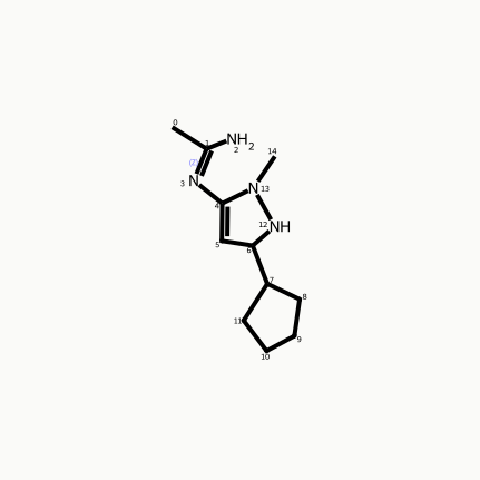 C/C(N)=N/C1=CC(C2CCCC2)NN1C